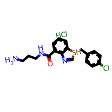 Cl.NCCCNC(=O)c1cccc2c1N=C[SH]2Cc1ccc(Cl)cc1